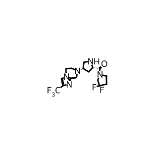 O=C([C@@H]1C[C@H](N2CCn3cc(C(F)(F)F)nc3C2)CN1)N1CCC(F)(F)C1